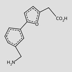 NCc1cccc(-c2ccc(CC(=O)O)o2)c1